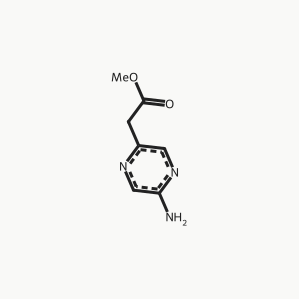 COC(=O)Cc1cnc(N)cn1